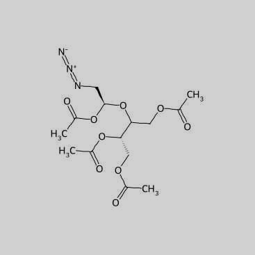 CC(=O)OCC(O[C@H](CN=[N+]=[N-])OC(C)=O)[C@H](COC(C)=O)OC(C)=O